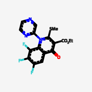 CCOC(=O)c1c(SC)n(-c2cnccn2)c2c(F)c(F)c(F)cc2c1=O